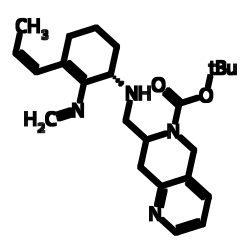 C=NC1=C(/C=C\C)CCC[C@@H]1NCC1Cc2ncccc2CN1C(=O)OC(C)(C)C